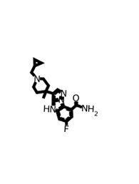 CC1(c2cnn3c2[nH]c2cc(F)cc(C(N)=O)c23)CCN(CC2CC2)CC1